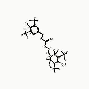 CC(C)(C)c1cc(CCC(=O)OCCN2C(C)(C)C(C(C)(C)C)[C](O)C(C(C)(C)C)C2(C)C)cc(C(C)(C)C)c1O